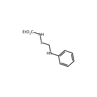 CCOC(=O)NSCNc1ccccc1